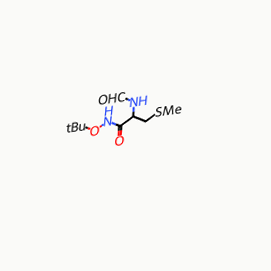 CSCC(NC=O)C(=O)NOC(C)(C)C